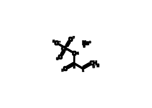 C=CC(=O)OS(=O)(=O)[O-].[Na+]